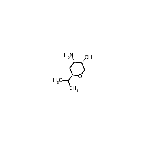 CC(C)[C@H]1C[C@H](N)[C@H](O)CO1